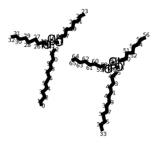 CCCCCCCCCCCCC[PH](O)(OCCCCCCCC)OCCCCCCCC.CCCCCCCCCCCCC[PH](O)(OCCCCCCCC)OCCCCCCCC